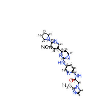 Cc1nccn1CC(=O)Nc1ccc(Nc2nccc(-c3cnc(N4CCCC4)c(C#N)c3)n2)cn1